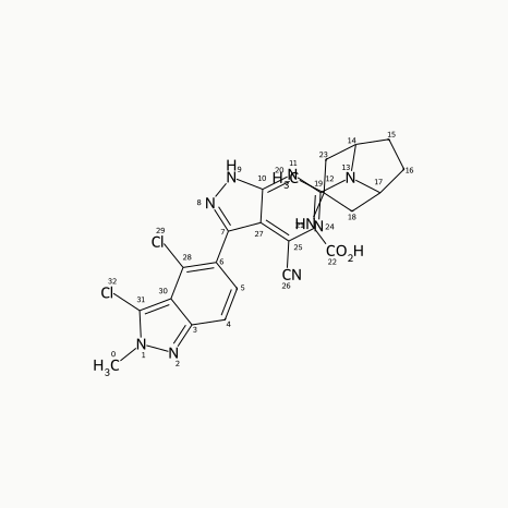 Cn1nc2ccc(-c3n[nH]c4nc(N5C6CCC5CC(C)(NC(=O)O)C6)nc(C#N)c34)c(Cl)c2c1Cl